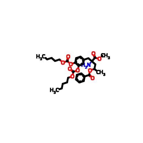 CCCCCOC(=O)Oc1ccc(C[C@](N)(CC(C)OC(=O)c2ccccc2)C(=O)OC)cc1OC(=O)OCCCCC